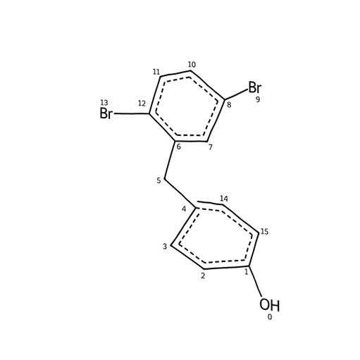 Oc1ccc(Cc2cc(Br)ccc2Br)cc1